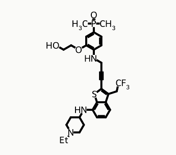 CCN1CCC(Nc2cccc3c(CC(F)(F)F)c(C#CCNc4ccc(P(C)(C)=O)cc4OCCO)sc23)CC1